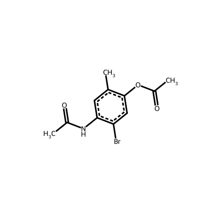 CC(=O)Nc1cc(C)c(OC(C)=O)cc1Br